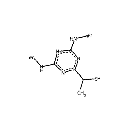 CC(C)Nc1nc(NC(C)C)nc(C(C)S)n1